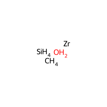 C.O.[SiH4].[Zr]